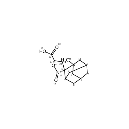 CC12CC3CC(CC(C3)C1(CCC(=O)O)[N+](=O)[O-])C2